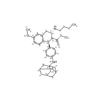 CCCCN[C@H]1Cc2cc(OC)ccc2[C@H](c2ccc(NC34CC5CC(CC(C5)C3)C4)cc2)N1C(=O)CCl